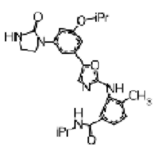 Cc1ccc(C(=O)NC(C)C)cc1Nc1ncc(-c2cc(OC(C)C)cc(N3CCNC3=O)c2)o1